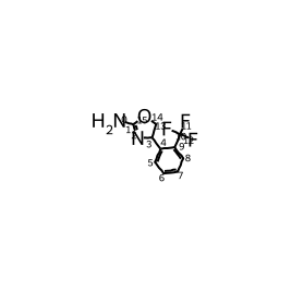 NC1=NC(c2ccccc2C(F)(F)F)CO1